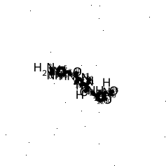 N=C(N)N1CCC(CNC(=O)c2c[nH]c3c(C(=O)NCc4ccc5c(c4)NC(=O)CO5)ncnc23)CC1